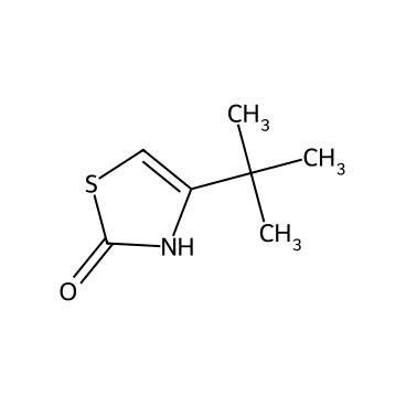 CC(C)(C)c1csc(=O)[nH]1